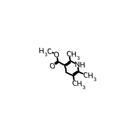 COC(=O)C1=C(C)NC(C)=C(C)C1